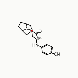 CC(C)C(=O)N1CC2CCC(C1)N2CCCNc1ccc(C#N)cc1